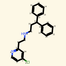 Clc1ccnc(CCNCCC(c2ccccc2)c2ccccc2)c1